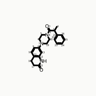 CC(C(=O)N1CCN(c2ccc3c(c2)NC(=O)CC3)CC1)c1ccccc1